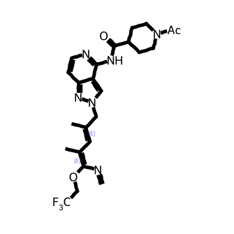 C=N/C(OCC(F)(F)F)=C(C)\C=C(/C)Cn1cc2c(NC(=O)C3CCN(C(C)=O)CC3)nccc2n1